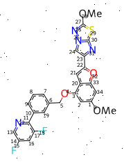 COc1cc(OCc2cccc(-c3ncc(F)cc3F)c2)c2cc(-c3cn4nc(OC)sc4n3)oc2c1